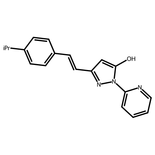 CC(C)c1ccc(C=Cc2cc(O)n(-c3ccccn3)n2)cc1